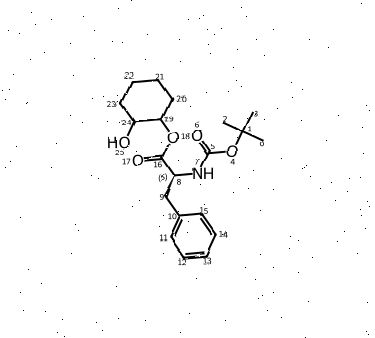 CC(C)(C)OC(=O)N[C@@H](Cc1ccccc1)C(=O)OC1CCCCC1O